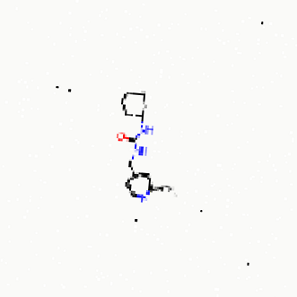 O=C(NCc1ccnc(C(F)(F)F)c1)NC1CCCCC1